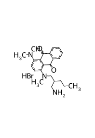 Br.CCCC(CN)CN(C)c1ccc(N(C)C)c2c1C(=O)c1ccccc1C2=O